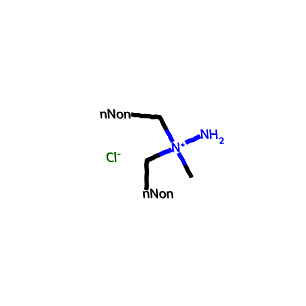 CCCCCCCCCC[N+](C)(N)CCCCCCCCCC.[Cl-]